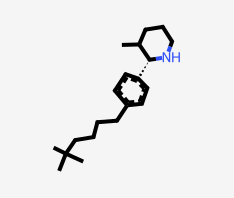 CC1CCCN[C@@H]1c1ccc(CCCCC(C)(C)C)cc1